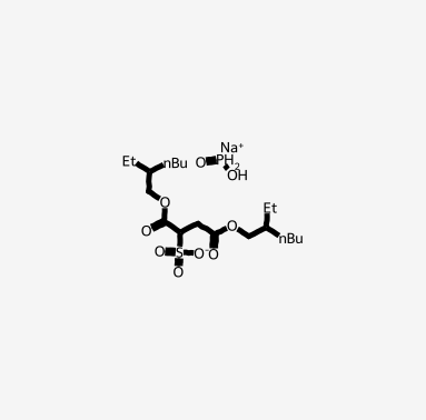 CCCCC(CC)COC(=O)CC(C(=O)OCC(CC)CCCC)S(=O)(=O)[O-].O=[PH2]O.[Na+]